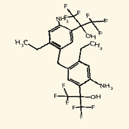 CCc1cc(N)c(C(O)(C(F)(F)F)C(F)(F)F)cc1Cc1cc(C(O)(C(F)(F)F)C(F)(F)F)c(N)cc1CC